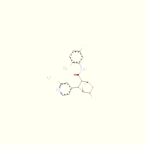 COc1cc(C2C3OC(CC3O)C2C(=O)Nc2cc(C(F)(F)F)ccc2C#N)ccn1